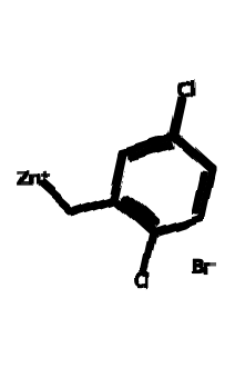 Clc1ccc(Cl)c([CH2][Zn+])c1.[Br-]